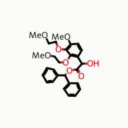 COCCOc1c(OC)ccc(C(O)C(=O)OC(c2ccccc2)c2ccccc2)c1OCCOC